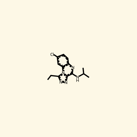 CCc1nnc2c(NC(C)C)nc3ccc(Cl)cc3n12